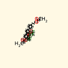 C=CC(=O)OCCCc1ccc(-c2ccc3c(oc4c(C(F)(F)F)c(OC(=O)C=C)ccc43)c2OC(F)(F)F)cc1